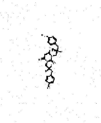 Cc1ccc(CC(F)(F)CN2C(=O)CC(=O)N(CC(F)(F)Cc3ccc(Cl)cc3)C2=O)cc1